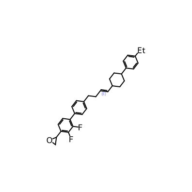 CCc1ccc(C2CCC(/C=C/CCc3ccc(-c4ccc(C5CO5)c(F)c4F)cc3)CC2)cc1